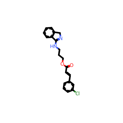 O=C(/C=C/c1cccc(Cl)c1)OCCCNC1=NCc2ccccc21